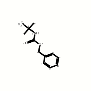 CC(C)(N)NC(=O)OCc1ccccc1